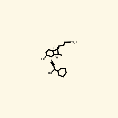 CC1/C(=C\CCC(=O)O)[C@@H]2CC[C@H](O)[C@@H](C#CC(O)C3CCCCC3)[C@H]12